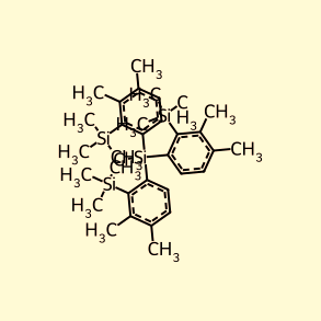 Cc1ccc([Si](Cl)(c2ccc(C)c(C)c2[Si](C)(C)C)c2ccc(C)c(C)c2[Si](C)(C)C)c([Si](C)(C)C)c1C